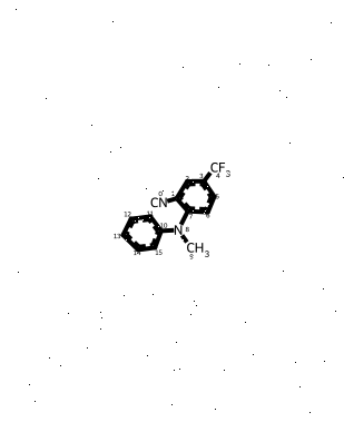 [C-]#[N+]c1cc(C(F)(F)F)ccc1N(C)c1ccccc1